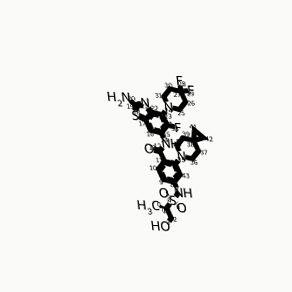 C[C@H](CO)S(=O)(=O)Nc1ccc(C(=O)Nc2cc3sc(N)nc3c(N3CCC(F)(F)CC3)c2F)c(N2CCC3(CC2)CC3)c1